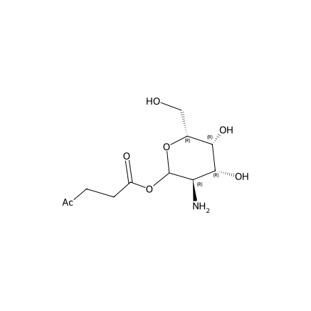 CC(=O)CCC(=O)OC1O[C@H](CO)[C@H](O)[C@H](O)[C@H]1N